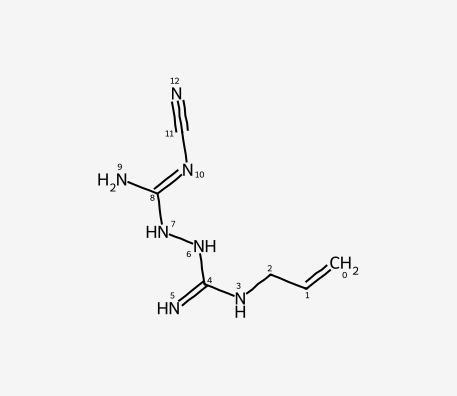 C=CCNC(=N)NNC(N)=NC#N